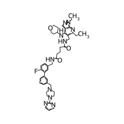 CCc1nc2c(cnn2CC)c(NC2CCOCC2)c1CNC(=O)CCCC(=O)NCc1ccc(F)c(-c2cccc(CN3CCN(c4ncccn4)CC3)c2)c1